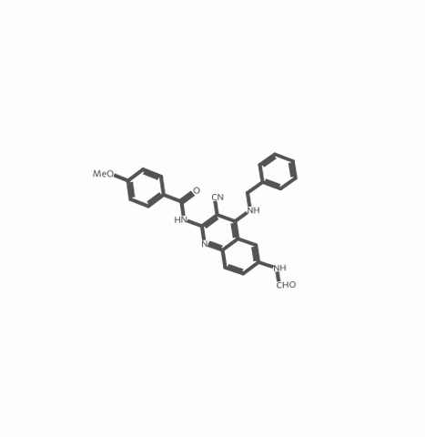 COc1ccc(C(=O)Nc2nc3ccc(NC=O)cc3c(NCc3ccccc3)c2C#N)cc1